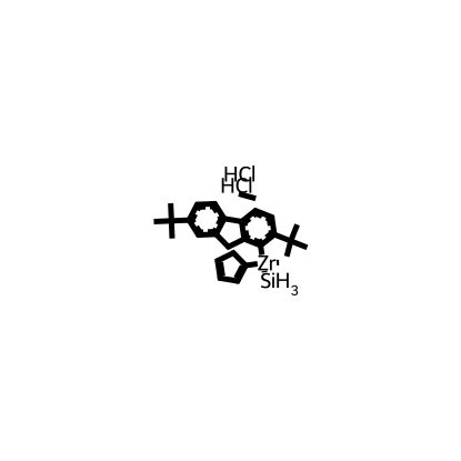 CC.CC(C)(C)c1ccc2c(c1)Cc1c-2ccc(C(C)(C)C)[c]1[Zr]([CH3])([SiH3])[C]1=CC=CC1.Cl.Cl